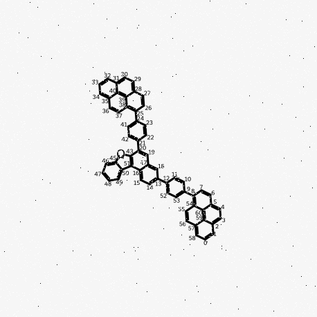 c1cc2ccc3ccc(-c4ccc(-c5ccc6c(c5)cc(-c5ccc(-c7ccc8ccc9cccc%10ccc7c8c9%10)cc5)c5oc7ccccc7c56)cc4)c4ccc(c1)c2c34